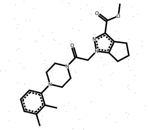 COC(=O)c1nn(CC(=O)N2CCN(c3cccc(C)c3C)CC2)c2c1CCC2